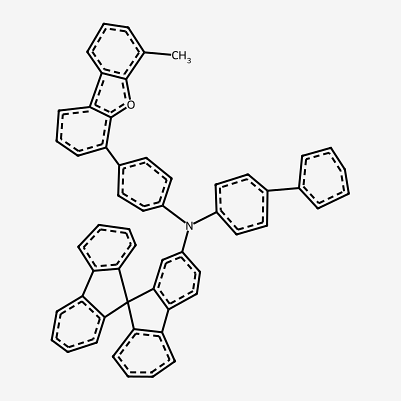 Cc1cccc2c1oc1c(-c3ccc(N(c4ccc(-c5ccccc5)cc4)c4ccc5c(c4)C4(c6ccccc6-c6ccccc64)c4ccccc4-5)cc3)cccc12